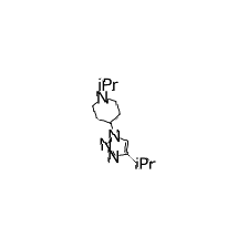 CC(C)c1cn(C2CCN(C(C)C)CC2)nn1